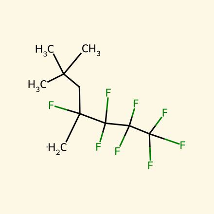 [CH2]C(F)(CC(C)(C)C)C(F)(F)C(F)(F)C(F)(F)F